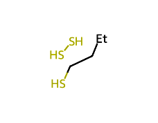 SS.[CH2]CCCS